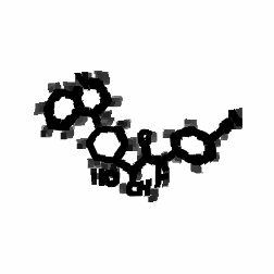 CC(C(=O)Nc1ccc(C#N)cc1)[C@]1(O)CC[C@H](c2ccnc3ccccc32)CC1